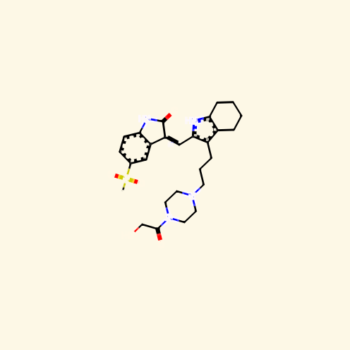 CCS(=O)(=O)c1ccc2c(c1)/C(=C/c1[nH]c3c(c1CCCN1CCN(C(=O)CO)CC1)CCCC3)C(=O)N2